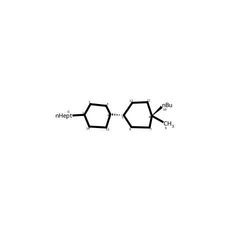 CCCCCCCC1CCC([C@H]2CC[C@](C)(CCCC)CC2)CC1